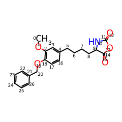 COc1cc(CCCCC2NC(=O)OC2=O)ccc1OCc1ccccc1